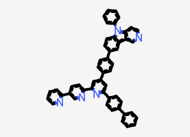 c1ccc(-c2ccc(-c3cc(-c4ccc(-c5ccc6c(c5)c5cnccc5n6-c5ccccc5)cc4)cc(-c4ccc(-c5ccccn5)cn4)n3)cc2)cc1